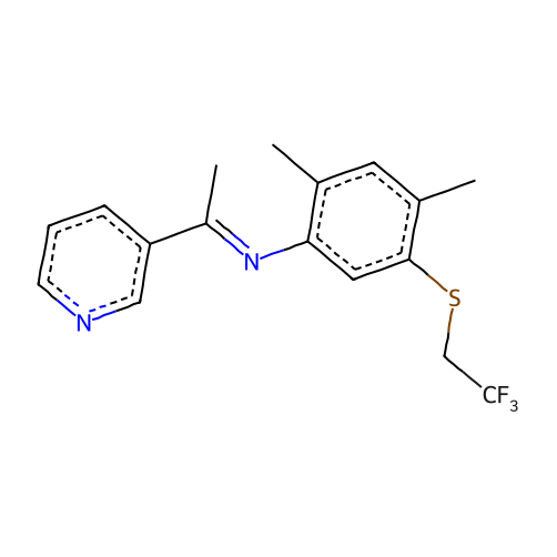 C/C(=N\c1cc(SCC(F)(F)F)c(C)cc1C)c1cccnc1